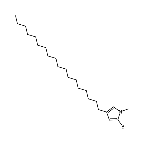 CCCCCCCCCCCCCCCCCCc1cc(Br)n(C)c1